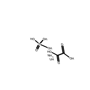 N.O=C(O)C(=O)O.O=P(O)(O)O.[LiH]